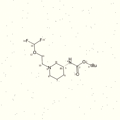 CC(C)(C)OC(=O)N[C@@H]1CCCN(CCOC(F)F)C1